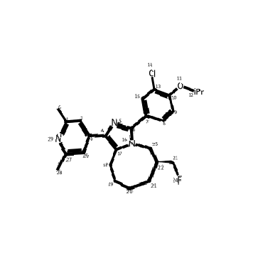 Cc1cc(-c2nc(-c3ccc(OC(C)C)c(Cl)c3)n3c2CCCC[C@H](CF)C3)cc(C)n1